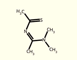 CC(=S)N=C(C)N(C)C